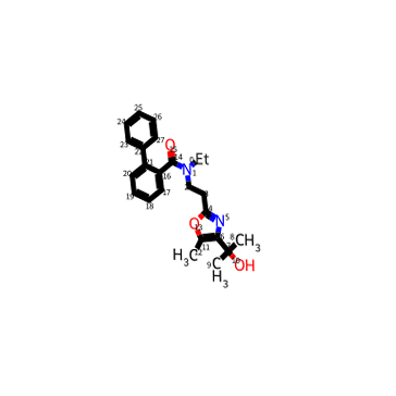 CCN(CCc1nc(C(C)(C)O)c(C)o1)C(=O)c1ccccc1-c1ccccc1